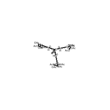 CC(=O)NC1C(OC(C)=O)[C@@H](OC(C)=O)C(COC(C)=O)O[C@H]1OCCCCCCNC(=O)CCOCC(CN=[N+]=[N-])(COCCC(=O)NCCCCCCO[C@@H]1OC(COC(C)=O)[C@H](OC(C)=O)C(OC(C)=O)C1NC(C)=O)COCCC(=O)NCCCCCCO[C@@H]1OC(COC(C)=O)[C@H](OC(C)=O)C(OC(C)=O)C1NC(C)=O